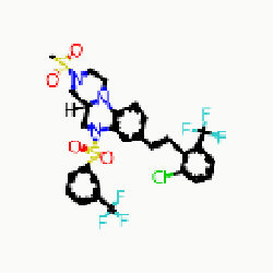 CS(=O)(=O)N1CCN2c3ccc(/C=C/c4c(Cl)cccc4C(F)(F)F)cc3N(S(=O)(=O)c3cccc(C(F)(F)F)c3)C[C@@H]2C1